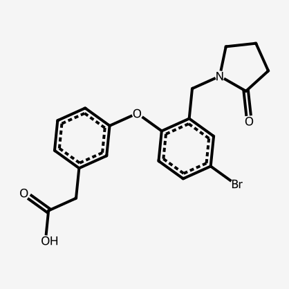 O=C(O)Cc1cccc(Oc2ccc(Br)cc2CN2CCCC2=O)c1